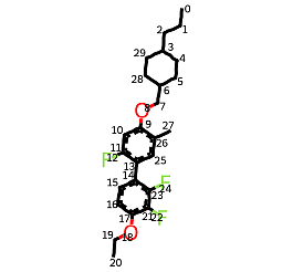 CCCC1CCC(COc2cc(F)c(-c3ccc(OCC)c(F)c3F)cc2C)CC1